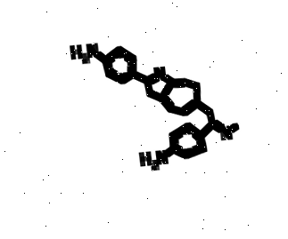 C/N=C(\CC1=CC=C2CC(c3ccc(N)cc3)=NC2=CC1)c1ccc(N)cc1